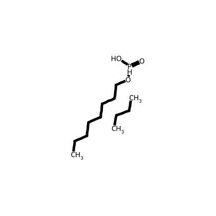 CCCC.CCCCCCCCO[PH](=O)O